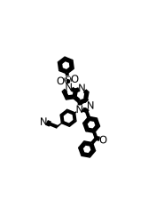 N#CC[C@H]1CC[C@H](n2c(-c3ccc(C(=O)c4ccccc4)cc3)nc3cnc4c(ccn4S(=O)(=O)c4ccccc4)c32)CC1